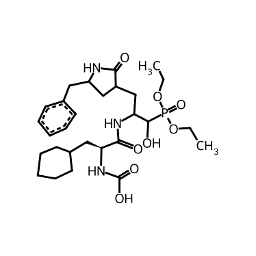 CCOP(=O)(OCC)C(O)C(CC1CC(Cc2ccccc2)NC1=O)NC(=O)[C@H](CC1CCCCC1)NC(=O)O